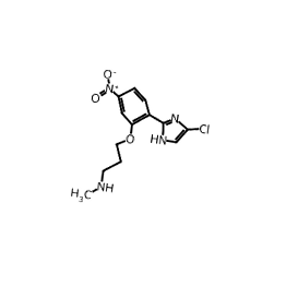 CNCCCOc1cc([N+](=O)[O-])ccc1-c1nc(Cl)c[nH]1